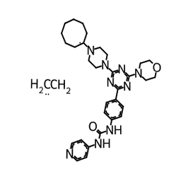 O=C(Nc1ccncc1)Nc1ccc(-c2nc(N3CCOCC3)nc(N3CCN([C]4CCCCCCC4)CC3)n2)cc1.[CH2].[CH2]